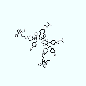 CC[C@H]1COC(=O)N1CCCN1CCC(N(Cc2ccc(F)cc2)C(=O)C(OC(=O)C(=O)OC(C(=O)N(Cc2ccc(F)cc2)C2CCN(CCCN3C(=O)OC[C@@H]3CC)CC2)c2ccc(OCC(C)C)cc2)c2ccc(OCC(C)C)cc2)CC1